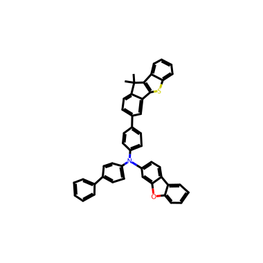 CC1(C)c2ccc(-c3ccc(N(c4ccc(-c5ccccc5)cc4)c4ccc5c(c4)oc4ccccc45)cc3)cc2-c2sc3ccccc3c21